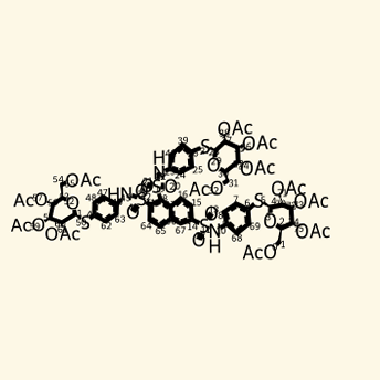 CC(=O)OC[C@H]1O[C@@H](Sc2ccc(NS(=O)(=O)c3ccc4c(S(=O)(=O)Nc5ccc(S[C@@H]6O[C@H](COC(C)=O)[C@@H](OC(C)=O)[C@H](OC(C)=O)[C@H]6OC(C)=O)cc5)c(S(=O)(=O)Nc5ccc(S[C@@H]6O[C@H](COC(C)=O)[C@@H](OC(C)=O)[C@H](OC(C)=O)[C@H]6OC(C)=O)cc5)ccc4c3)cc2)[C@H](OC(C)=O)[C@@H](OC(C)=O)[C@@H]1OC(C)=O